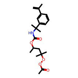 C=C(C)c1cccc(C(C)(C)NC(=O)OC(C)CC(C)(C)OOC(C)=O)c1